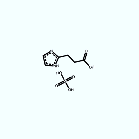 O=C(O)CCc1ncc[nH]1.O=S(=O)(O)O